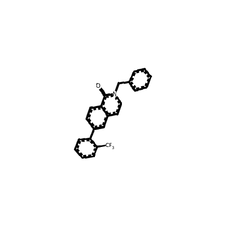 O=c1c2ccc(-c3ccccc3C(F)(F)F)cc2ccn1Cc1ccccc1